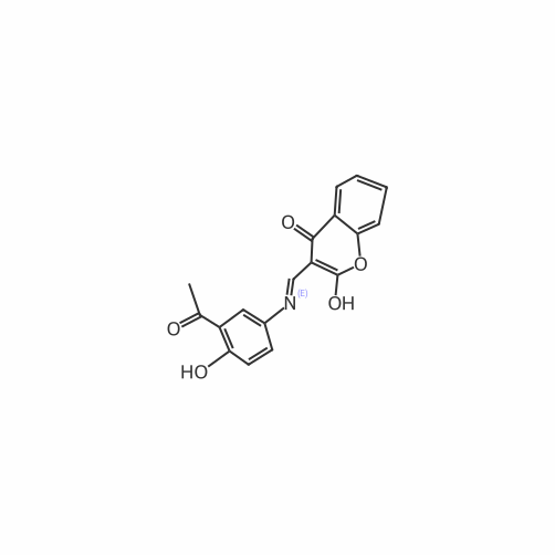 CC(=O)c1cc(/N=C/c2c(O)oc3ccccc3c2=O)ccc1O